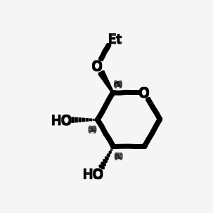 CCO[C@H]1OCC[C@H](O)[C@@H]1O